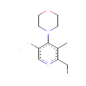 Cc1c(CCl)ncc(F)c1N1CCOCC1.Cl